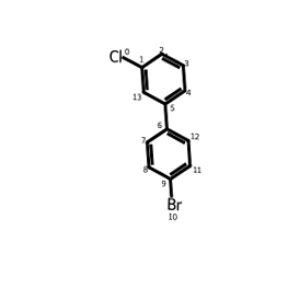 Clc1[c]ccc(-c2ccc(Br)cc2)c1